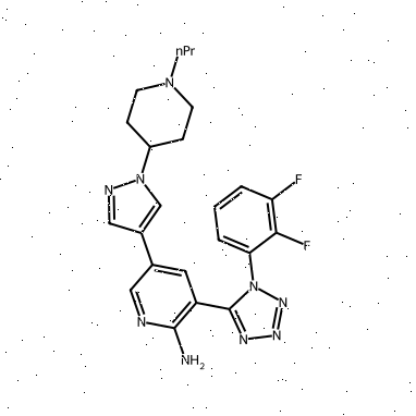 CCCN1CCC(n2cc(-c3cnc(N)c(-c4nnnn4-c4cccc(F)c4F)c3)cn2)CC1